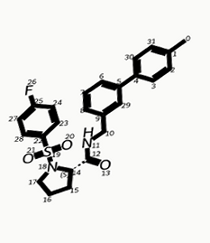 Cc1ccc(-c2cccc(CNC(=O)[C@@H]3CCCN3S(=O)(=O)c3ccc(F)cc3)c2)cc1